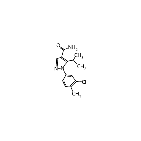 Cc1ccc(-n2ncc(C(N)=O)c2C(C)C)cc1Cl